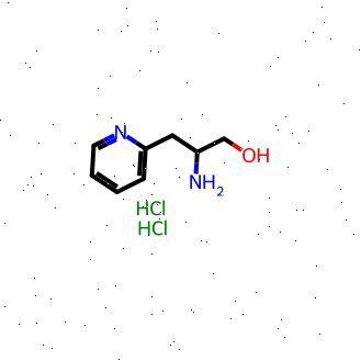 Cl.Cl.NC(CO)Cc1ccccn1